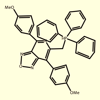 COc1ccc(-c2nc(C[PH](c3ccccc3)(c3ccccc3)c3ccccc3)c(-c3ccc(OC)cc3)c3nonc23)cc1